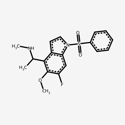 CNC(C)c1c(OC)c(F)cc2c1ccn2S(=O)(=O)c1ccccc1